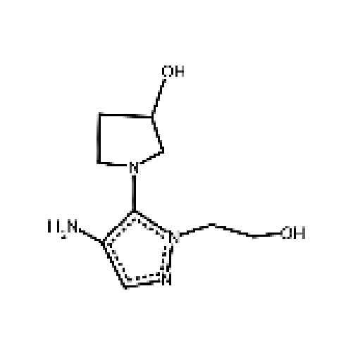 Nc1cnn(CCO)c1N1CCC(O)C1